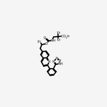 CCC(Cc1ccc2nc(-c3ccccc3-c3nnn[nH]3)ccc2c1)OC(=O)NCC(CC)(CC)C(=O)O